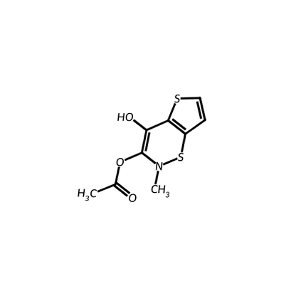 CC(=O)OC1=C(O)c2sccc2SN1C